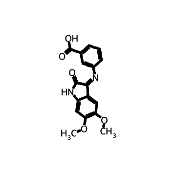 COc1cc2c(cc1OC)/C(=N/c1cccc(C(=O)O)c1)C(=O)N2